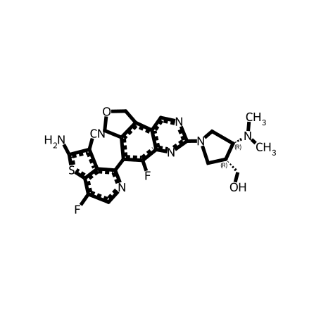 CN(C)[C@H]1CN(c2ncc3c4c(c(-c5ncc(F)c6sc(N)c(C#N)c56)c(F)c3n2)COC4)C[C@H]1CO